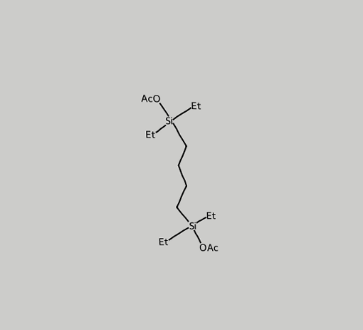 CC[Si](CC)(CCCC[Si](CC)(CC)OC(C)=O)OC(C)=O